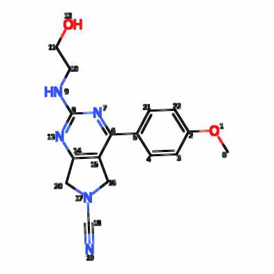 COc1ccc(-c2nc(NCCO)nc3c2CN(C#N)C3)cc1